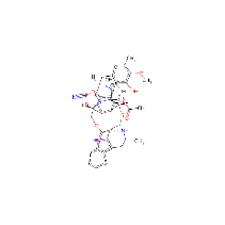 COc1c(C)cc2c(c1O)[C@@H]1N(C)[C@H](C2)C(C#N)N2[C@H]3COC(=O)[C@]4(CS[C@H](c5c(OC(C)=O)c(C)c6c(c53)OCO6)[C@@]12C)N[C@H](C)Cc1c4[nH]c2ccccc12